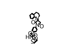 O=C1CC(N2CCCc3ccccc32)C(=O)N1c1ccc(S(=O)(=O)Nc2nccs2)cc1